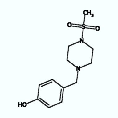 CS(=O)(=O)N1CCN(Cc2ccc(O)cc2)CC1